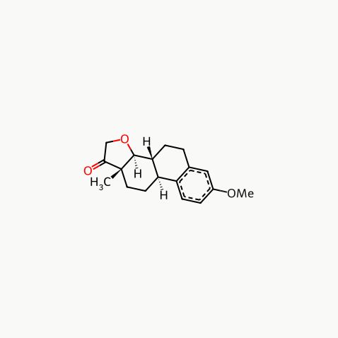 COc1ccc2c(c1)CC[C@@H]1[C@@H]2CC[C@]2(C)C(=O)CO[C@@H]12